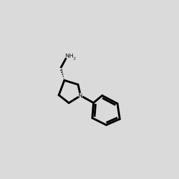 NC[C@H]1CCN(c2ccccc2)C1